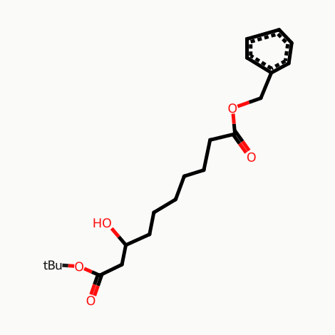 CC(C)(C)OC(=O)CC(O)CCCCCCC(=O)OCc1ccccc1